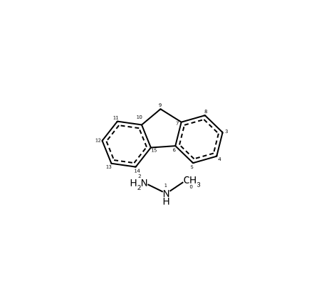 CNN.c1ccc2c(c1)Cc1ccccc1-2